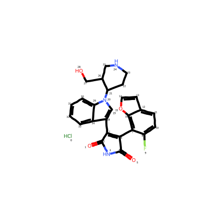 Cl.O=C1NC(=O)C(c2c(F)ccc3ccoc23)=C1c1cn(C2CCNCC2CO)c2ccccc12